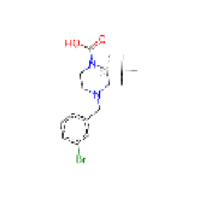 CC(C)(C)[C@@]1(C)CN(Cc2cccc(Br)c2)CCN1C(=O)O